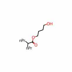 CCCC(CCC)C(=O)OCCCCO